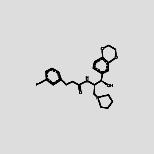 O=C(CCc1cccc(F)c1)N[C@H](CN1CCCC1)[C@H](O)c1ccc2c(c1)OCCO2